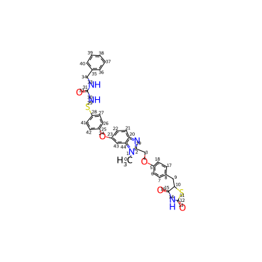 Cn1c(COc2ccc(CC3SC(=O)NC3=O)cc2)nc2ccc(Oc3ccc(SNC(=O)NCc4ccccc4)cc3)cc21